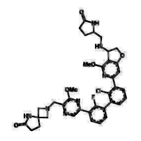 COc1nc(-c2cccc(-c3cccc(-c4cc5c(c(OC)n4)C(NCC4CCC(=O)N4)CO5)c3Cl)c2F)cnc1CN1CC2(CCC(=O)N2)C1